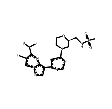 CS(=O)(=O)NC[C@H]1CN(c2cc(-c3cnn4cc(F)c(C(F)F)nc34)ncn2)CCO1